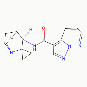 O=C(N[C@@H]1C2CCN(CC2)C12CC2)c1cnn2ncccc12